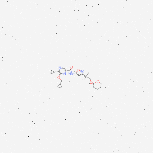 CC(C)(COC1CCCCO1)c1cc(NC(=O)c2cnc(C3CC3)c(OCC3CC3)n2)on1